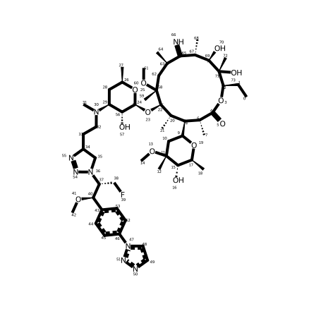 CC[C@H]1OC(=O)[C@H](C)[C@@H](C2C[C@@](C)(OC)[C@@H](O)[C@H](C)O2)[C@H](C)[C@@H](O[C@@H]2O[C@H](C)C[C@H](N(C)CCC3CN([C@H](CF)[C@H](OC)c4ccc(-n5ccnn5)cc4)N=N3)[C@H]2O)[C@](C)(OC)C[C@@H](C)C(=N)[C@H](C)[C@@H](O)[C@]1(C)O